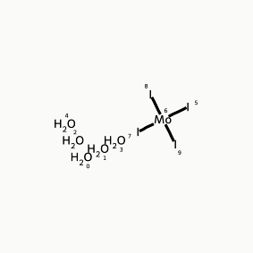 O.O.O.O.O.[I][Mo]([I])([I])[I]